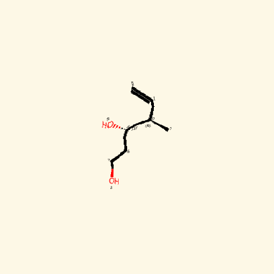 C=C[C@@H](C)[C@@H](O)CCO